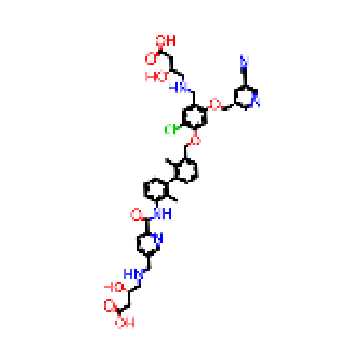 Cc1c(COc2cc(OCc3cncc(C#N)c3)c(CNC[C@@H](O)CC(=O)O)cc2Cl)cccc1-c1cccc(NC(=O)c2ccc(CNC[C@@H](O)CC(=O)O)cn2)c1C